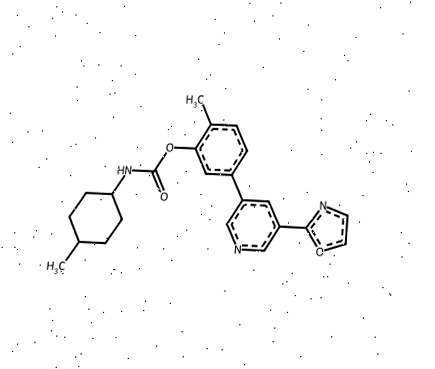 Cc1ccc(-c2cncc(-c3ncco3)c2)cc1OC(=O)NC1CCC(C)CC1